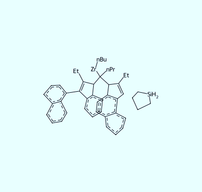 C1CC[SiH2]C1.CCC[CH2][Zr][C](CCC)(C1C(CC)=C(c2cccc3ccccc23)c2ccccc21)C1C(CC)=Cc2c1ccc1ccccc21